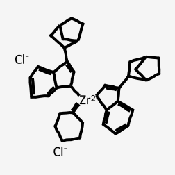 C1=C(C2CC3CCC2C3)c2ccccc2[CH]1[Zr+2](=[C]1CCCCC1)[CH]1C=C(C2CC3CCC2C3)c2ccccc21.[Cl-].[Cl-]